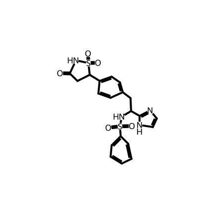 O=C1CC(c2ccc(CC(NS(=O)(=O)c3ccccc3)c3ncc[nH]3)cc2)S(=O)(=O)N1